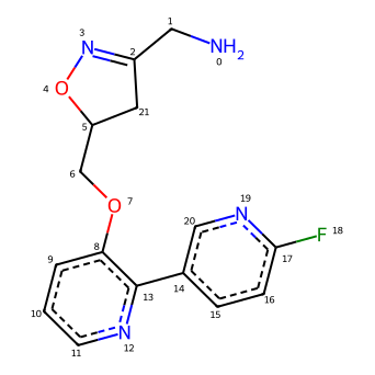 NCC1=NOC(COc2cccnc2-c2ccc(F)nc2)C1